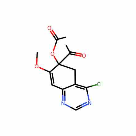 COC1=Cc2ncnc(Cl)c2CC1(OC(C)=O)C(C)=O